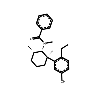 CCc1ccc(O)cc1[C@@]1(C)CCC[C@H](C)[C@@H]1N(C)C(=O)c1ccccc1